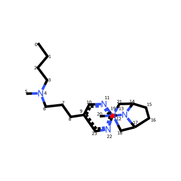 CCCCN(C)CCCc1cnc(N2C3CCC2CN(C)C3)nc1